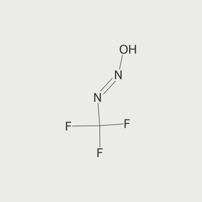 ON=NC(F)(F)F